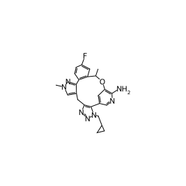 CC1Oc2cc(cnc2N)-c2c(nnn2CC2CC2)Cc2cn(C)nc2-c2ccc(F)cc21